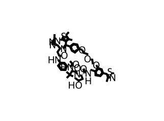 CC(=O)N[C@H](C(=O)N1C[C@H](O)C[C@H]1C(=O)NCc1ccc(-c2scnc2C)cc1OCCOCCOc1ccc(C2=NC(CC(=O)Nc3ccccc3)c3nnc(C)n3-c3sc(C)c(C)c32)cc1)C(C)(C)C